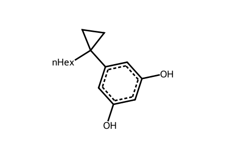 CCCCCCC1(c2cc(O)cc(O)c2)CC1